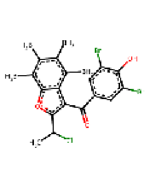 Bc1c(B)c(B)c2c(C(=O)c3cc(Br)c(O)c(Br)c3)c(C(C)Cl)oc2c1B